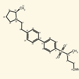 COCCN(C)S(=O)(=O)c1ccc(-c2ccc(CCN3CCC[C@H]3C)cc2)cc1